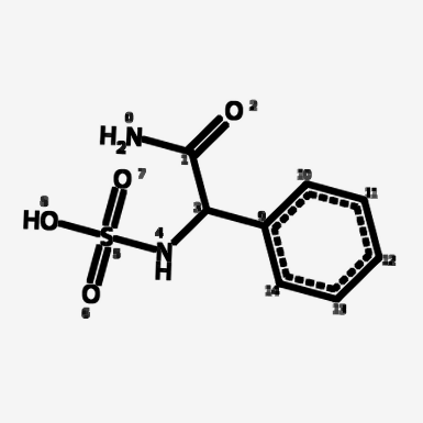 NC(=O)C(NS(=O)(=O)O)c1ccccc1